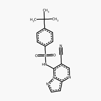 CC(C)(C)c1ccc(S(=O)(=O)Nc2c(C#N)cnc3ccnn23)cc1